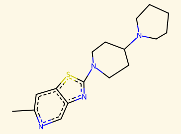 Cc1cc2sc(N3CCC(N4CCCCC4)CC3)nc2cn1